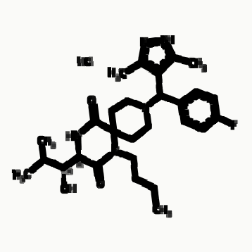 CCCCN1C(=O)[C@@H]([C@H](O)C(C)C)NC(=O)C12CCN(C(c1ccc(F)cc1)c1c(C)n[nH]c1C)CC2.Cl